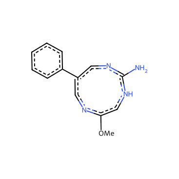 COc1c[nH]c(N)ncc(-c2ccccc2)cn1